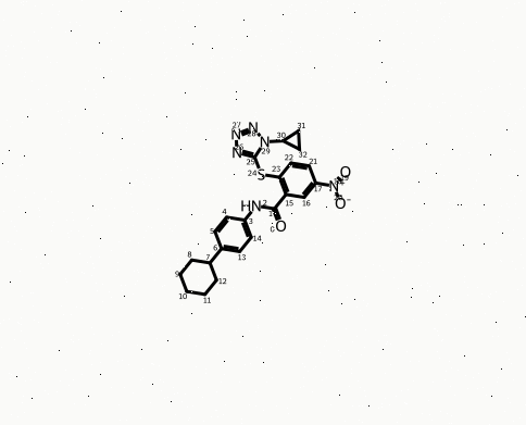 O=C(Nc1ccc(C2CCCCC2)cc1)c1cc([N+](=O)[O-])ccc1Sc1nnnn1C1CC1